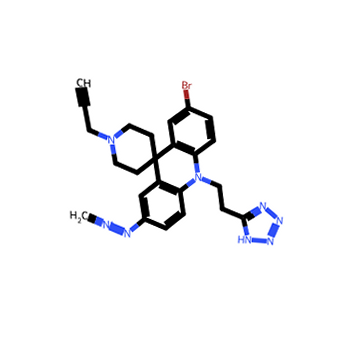 C#CCN1CCC2(CC1)c1cc(Br)ccc1N(CCc1nnn[nH]1)c1ccc(N=[N+]=C)cc12